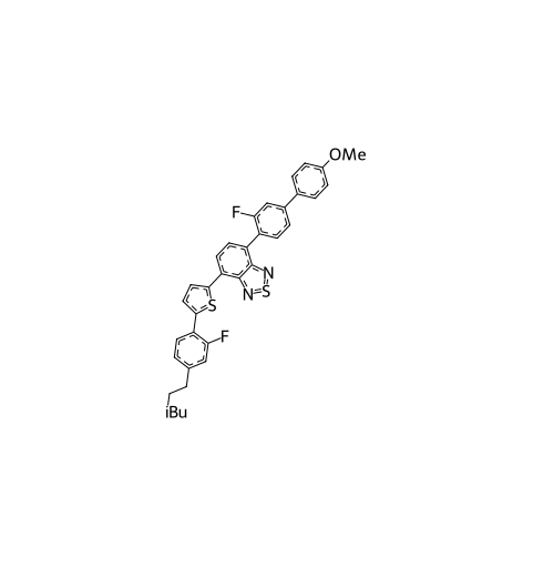 CCC(C)CCc1ccc(-c2ccc(-c3ccc(-c4ccc(-c5ccc(OC)cc5)cc4F)c4nsnc34)s2)c(F)c1